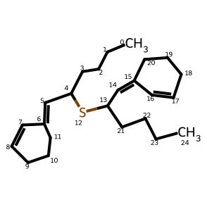 CCCCC(C=C1C=CCCC1)SC(C=C1C=CCCC1)CCCC